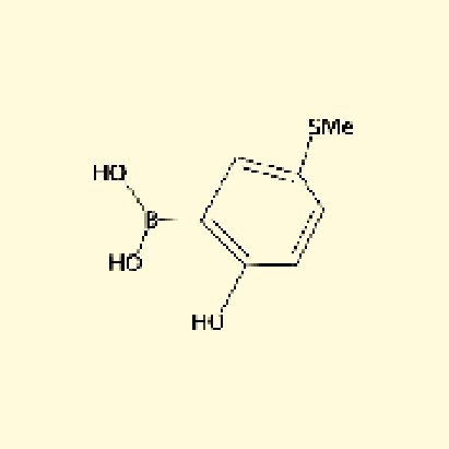 CSc1ccc(O)c(B(O)O)c1